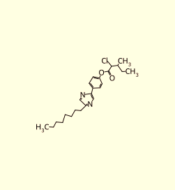 CCCCCCCCc1cnc(-c2ccc(OC(=O)C(Cl)C(C)CC)cc2)cn1